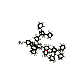 CC(C)(C)c1ccc2c(c1)c1ccccc1n2-c1ccc(-c2nc(-c3ccccc3)cc(-c3ccccc3)n2)cc1-c1nc(-c2ccccc2)nc(-c2ccc(-c3ccc4c5c3N(c3ccccc3)c3ccccc3B5c3ccccc3N4c3ccccc3)cc2)n1